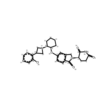 O=C1CC[C@@H](N2Cc3cc(O[C@@H]4CCCC[C@@H]4N4CC(c5ncncc5Cl)C4)ccc3C2=O)C(=O)N1